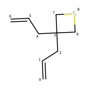 C=CCC1(CC=C)CSC1